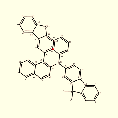 CC1(C)c2ccccc2-c2ccc(N(c3ccccc3)c3ccc4ccccc4c3-c3ccc4sc5ccccc5c4c3)cc21